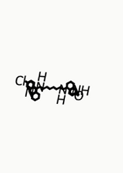 O=c1ccc2c([nH]1)CCCC2NCCCCCCNc1c2c(nc3cc(Cl)ccc13)CCCC2